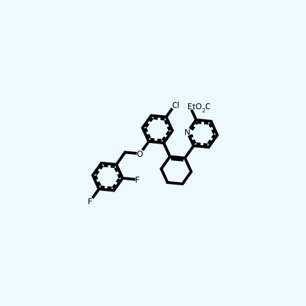 CCOC(=O)c1cccc(C2=C(c3cc(Cl)ccc3OCc3ccc(F)cc3F)CCCC2)n1